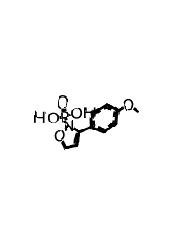 COc1ccc(C2=CCON2P(=O)(O)O)cc1